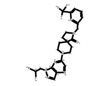 O=C1N(Cc2cccc(C(F)(F)F)n2)CCC12CCN(c1cnc3cnn(CC(F)F)c3n1)CC2